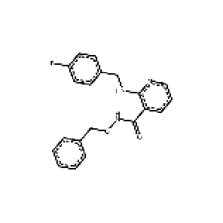 O=C(NOCc1ccccc1)c1cccnc1NCc1ccc(F)cc1